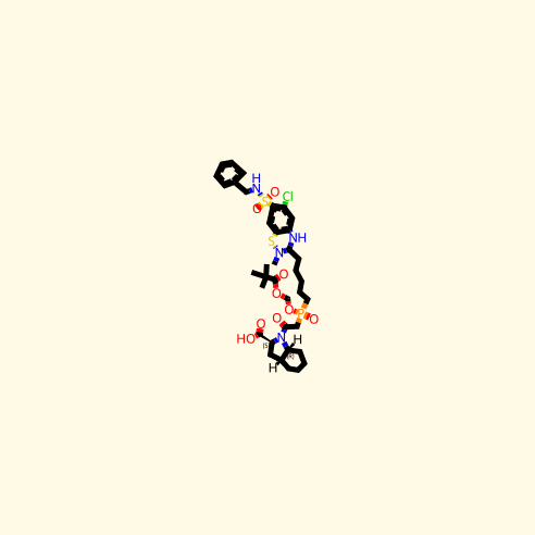 CN1Sc2cc(S(=O)(=O)NCc3ccccc3)c(Cl)cc2NC1CCCCCP(=O)(CC(=O)N1[C@@H]2CCCC[C@@H]2C[C@H]1C(=O)O)OCOC(=O)C(C)(C)C